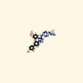 COc1ccc(-c2c(CN3CCN(CCN(C)C)CC3)cnn2-c2ccc(-c3ccc(F)cc3)cc2)cc1